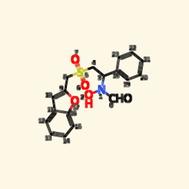 O=CN(O)C(CS(=O)(=O)Cc1cc2ccccc2o1)c1ccccc1